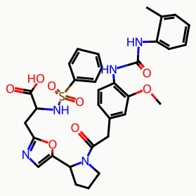 COc1cc(CC(=O)N2CCCC2c2cnc(CC(NS(=O)(=O)c3ccccc3)C(=O)O)o2)ccc1NC(=O)Nc1ccccc1C